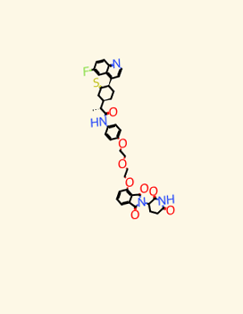 C[C@@H](C(=O)Nc1ccc(OCCOCCOc2cccc3c2C(=O)N(C2CCC(=O)NC2=O)C3=O)cc1)[C@@H]1CC[C@H](c2ccnc3ccc(F)cc23)C(=S)C1